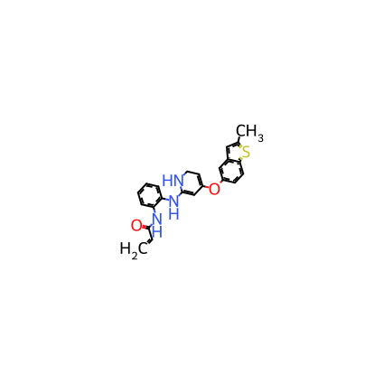 C=CC(=O)Nc1ccccc1NC1=CC(Oc2ccc3sc(C)cc3c2)=CCN1